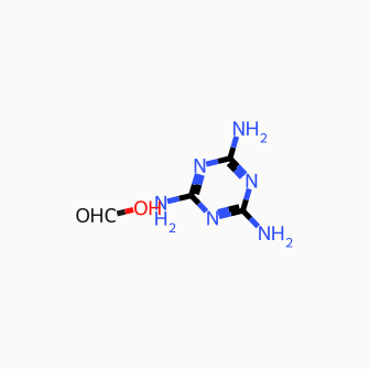 Nc1nc(N)nc(N)n1.O=CO